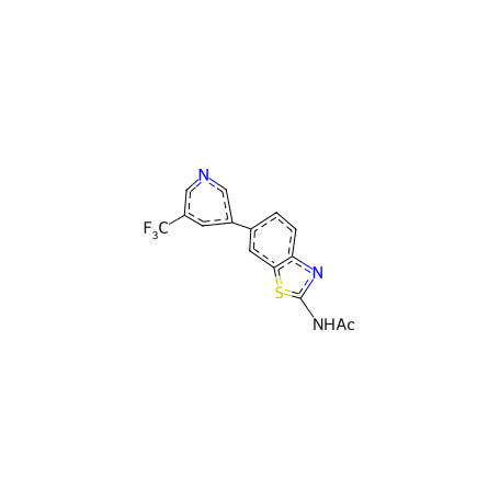 CC(=O)Nc1nc2ccc(-c3cncc(C(F)(F)F)c3)cc2s1